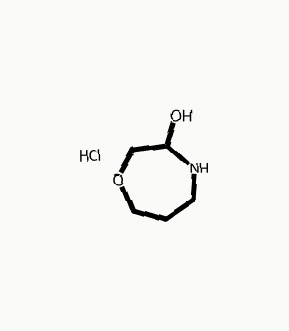 Cl.OC1COCCCN1